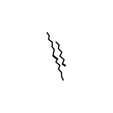 C=CCCCCCC.CCCCCCC=CCCCCCC